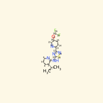 CC(C)c1cccnc1Nc1nc(-c2ccc(OC(F)F)cn2)ns1